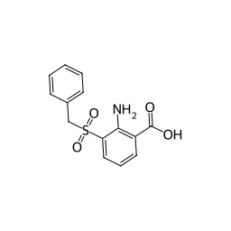 Nc1c(C(=O)O)cccc1S(=O)(=O)Cc1ccccc1